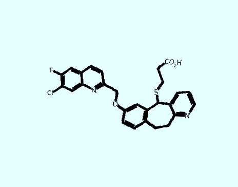 O=C(O)CCSC1c2cc(OCc3ccc4cc(F)c(Cl)cc4n3)ccc2CCc2ncccc21